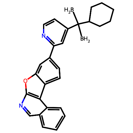 BC(B)(c1ccnc(-c2ccc3c(c2)oc2ncc4ccccc4c23)c1)C1CCCCC1